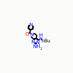 CCCCNc1nc(N)nc2c1CCN(C(=O)c1ccncc1)C2